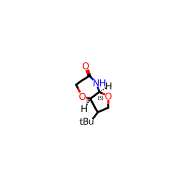 CC(C)(C)C1CO[C@@H]2NC(=O)CO[C@H]12